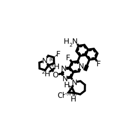 [2H]C([2H])(Oc1nc(N2CCCC[C@H]3[C@H](Cl)[C@H]32)c2cnc(-c3cc(N)cc4ccc(F)c(C#C)c34)c(F)c2n1)[C@@]12CCCN1C[C@H](F)C2